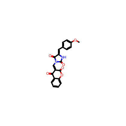 COc1ccc(C=C2NC(=O)N(C=C3C(=O)Oc4ccccc4C3=O)C2=O)cc1